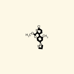 COC(=O)c1nc(Cl)ccc1-c1ccc(-n2cccn2)cc1C